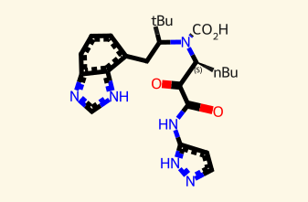 CCCC[C@@H](C(=O)C(=O)Nc1ccn[nH]1)N(C(=O)O)C(Cc1cccc2nc[nH]c12)C(C)(C)C